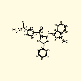 CC(=O)n1cc(C[C@@H]2C[C@H](c3ccccc3)CN2C(=O)c2ccc([C@H](C)N)o2)c2ccccc21